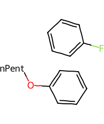 CCCCCOc1ccccc1.Fc1ccccc1